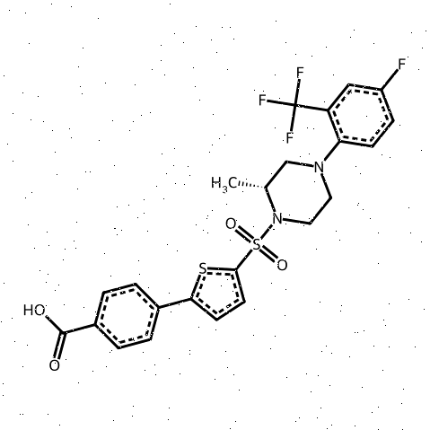 C[C@@H]1CN(c2ccc(F)cc2C(F)(F)F)CCN1S(=O)(=O)c1ccc(-c2ccc(C(=O)O)cc2)s1